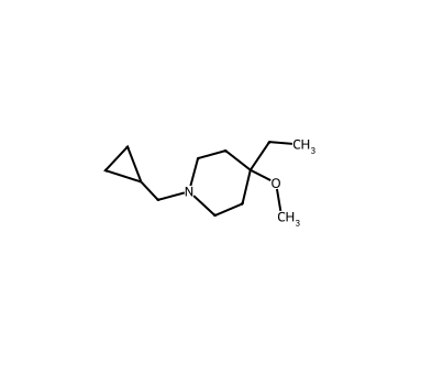 CCC1(OC)CCN(CC2CC2)CC1